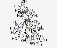 C=C(CCC(COC(C)(C)CC(C)(C)C(=O)N/C(C)=C(/C)OC1OC(CO)C(O)C(O)C1NC(C)=O)(COC(C)(C)CC(C)(C)C(=O)NC(C)(N)CC(C)(C)OC1OC(CO)C(O)C(O)C1NC(C)=O)NC)C(=O)NC(C)(C)CC(C)(C)OC1OC(CO)C(O)C(O)C1NC(C)=O